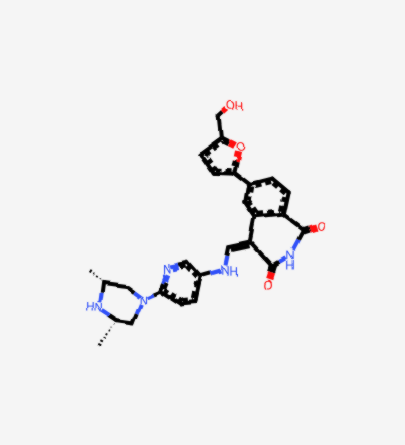 C[C@@H]1CN(c2ccc(NC=C3C(=O)NC(=O)c4ccc(-c5ccc(CO)o5)cc43)cn2)C[C@H](C)N1